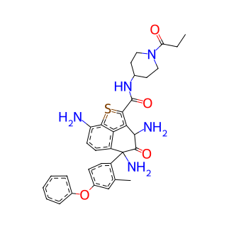 CCC(=O)N1CCC(NC(=O)c2sc3c(N)ccc4c3c2C(N)C(=O)C4(N)c2ccc(Oc3ccccc3)cc2C)CC1